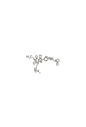 CCCn1c(=O)c2[nH]c(-c3ccc(NCCCN4CCCC4=O)nc3)nc2n(CCCOC)c1=O